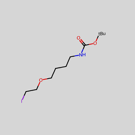 CC(C)(C)OC(=O)NCCCCOCCI